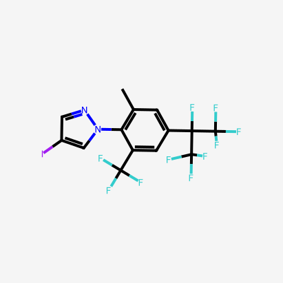 Cc1cc(C(F)(C(F)(F)F)C(F)(F)F)cc(C(F)(F)F)c1-n1cc(I)cn1